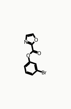 O=C(Oc1cccc(Br)c1)c1ncco1